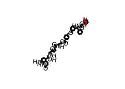 O=C(NC(c1ccccc1)c1cccc(OCc2ccc(C(=O)OCCNC(=O)c3ccc(CNC[C@H](O)c4ccc(O)c5[nH]c(=O)ccc45)o3)cc2)c1)O[C@H]1CN2CCC1CC2